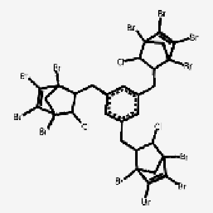 ClC1C(Cc2cc(CC3C(Cl)C4(Br)CC3(Br)C(Br)=C4Br)cc(CC3C(Cl)C4(Br)CC3(Br)C(Br)=C4Br)c2)C2(Br)CC1(Br)C(Br)=C2Br